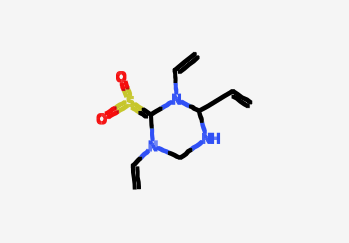 C=CC1NCN(C=C)C(=S(=O)=O)N1C=C